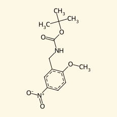 COc1ccc([N+](=O)[O-])cc1CNC(=O)OC(C)(C)C